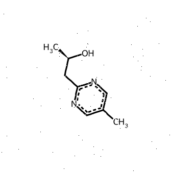 Cc1cnc(C[C@@H](C)O)nc1